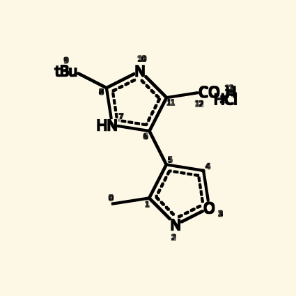 Cc1nocc1-c1[nH]c(C(C)(C)C)nc1C(=O)O.Cl